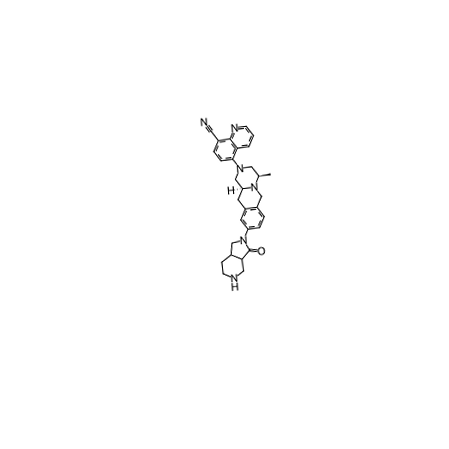 C[C@@H]1CN(c2ccc(C#N)c3ncccc23)C[C@@H]2Cc3cc(N4CC5CCNCC5C4=O)ccc3CN21